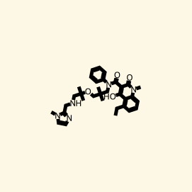 CCc1cccc2c1c(O)c(C(=O)N(CC(C)(C)COC(C)(C)CNCc1nccn1C)c1ccccc1)c(=O)n2C